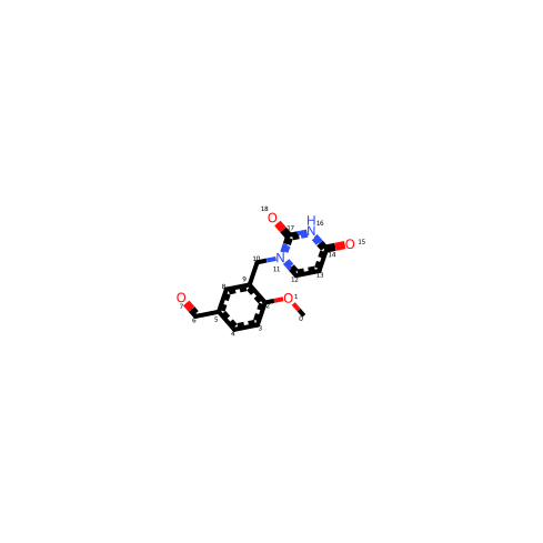 COc1ccc(C=O)cc1Cn1ccc(=O)[nH]c1=O